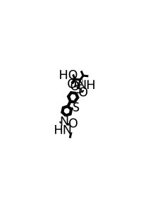 CCNC(=O)N(C)c1ccc2c(c1)sc1cc(S(=O)(=O)N[C@H](C(=O)O)C(C)C)ccc12